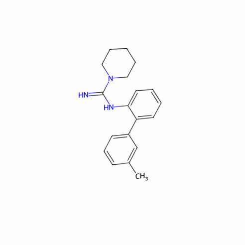 Cc1cccc(-c2ccccc2NC(=N)N2CCCCC2)c1